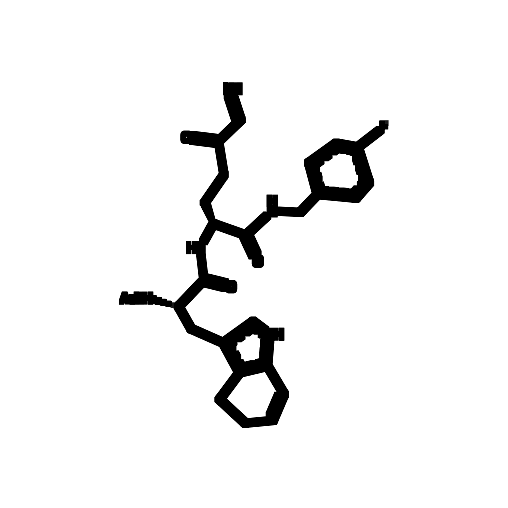 CC(=O)N[C@@H](Cc1c[nH]c2c1CCC=C2)C(=O)N[C@@H](CCC(=O)C=N)C(=O)NCc1ccc(F)cc1